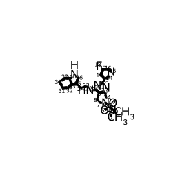 CN(C)S(=O)(=O)N1CCc2c(nc(-c3cncc(F)c3)nc2NCCc2c[nH]c3ccccc23)C1